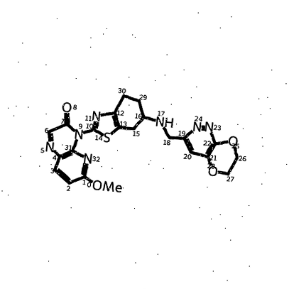 COc1ccc2ncc(=O)n(-c3nc4c(s3)CC(NCc3cc5c(nn3)OCCO5)CC4)c2n1